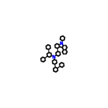 c1ccc(-c2cc(-c3ccccc3)cc(N(c3ccc(-c4ccccc4-c4ccccc4)cc3)c3cccc(-c4cccc5c4c4c6ccccc6ccc4n5-c4ccccc4)c3)c2)cc1